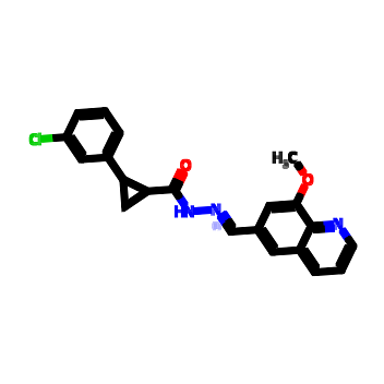 COc1cc(/C=N/NC(=O)C2CC2c2cccc(Cl)c2)cc2cccnc12